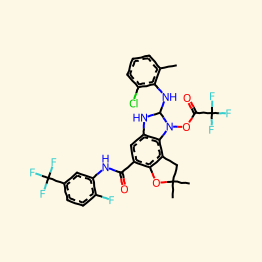 Cc1cccc(Cl)c1NC1Nc2cc(C(=O)Nc3cc(C(F)(F)F)ccc3F)c3c(c2N1OC(=O)C(F)(F)F)CC(C)(C)O3